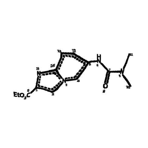 CCOC(=O)c1cn2cc(NC(=O)N(C)C)ccc2n1